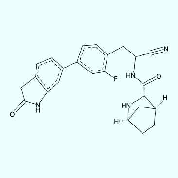 N#CC(Cc1ccc(-c2ccc3c(c2)NC(=O)C3)cc1F)NC(=O)[C@H]1N[C@@H]2CC[C@H]1C2